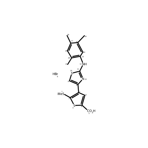 Br.CSc1sc(C(=O)O)cc1-c1csc(Nc2cc(C)c(C)cc2C)n1